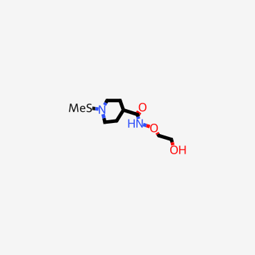 CSN1CCC(C(=O)NOCCO)CC1